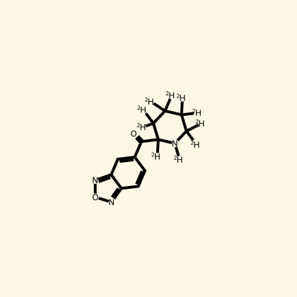 [2H]N1C([2H])([2H])C([2H])([2H])C([2H])([2H])C([2H])([2H])C1([2H])C(=O)c1ccc2nonc2c1